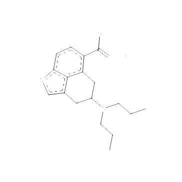 Br.CCCN(CCC)C1Cc2c[nH]c3ccc(C(N)=O)c(c23)C1